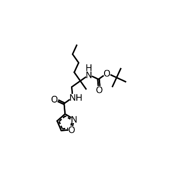 CCCCC(C)(CNC(=O)c1ccon1)NC(=O)OC(C)(C)C